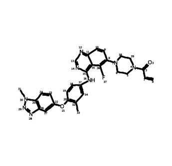 C=CC(=O)N1CCN(c2ccc3ncnc(Nc4ccc(Oc5ccc6c(c5)nnn6C)c(C)c4)c3c2F)CC1